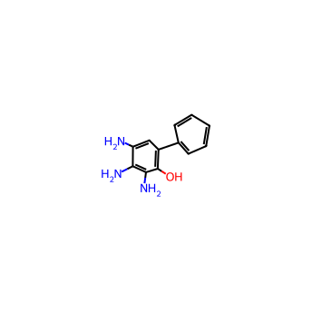 Nc1cc(-c2ccccc2)c(O)c(N)c1N